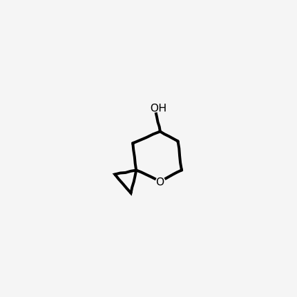 OC1CCOC2(CC2)C1